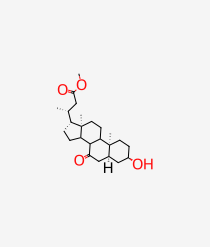 COC(=O)C[C@@H](C)[C@H]1CCC2C3C(=O)C[C@@H]4C[C@H](O)CC[C@]4(C)C3CC[C@@]21C